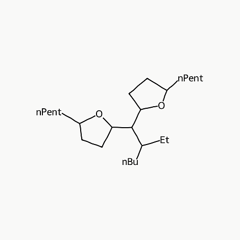 CCCCCC1CCC(C(C(CC)CCCC)C2CCC(CCCCC)O2)O1